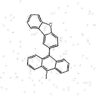 Cc1c2ccccc2c(-c2ccc3oc4ccccc4c3c2)c2ccccc12